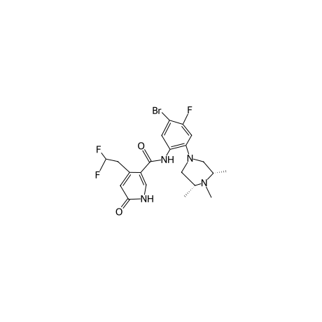 C[C@@H]1CN(c2cc(F)c(Br)cc2NC(=O)c2c[nH]c(=O)cc2CC(F)F)C[C@H](C)N1C